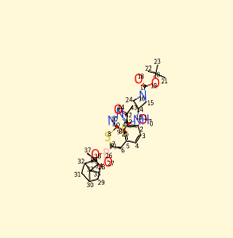 COc1ccc(C[C@H](Sc2nnc(NC3CN(C(=O)OC(C)(C)C)C3)s2)B2OC3CC4CC(C4(C)C)[C@]3(C)O2)c(C)c1C(C)=O